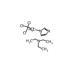 CCN(CC)CC.ClC(Cl)(Cl)Cl.Cn1ccnc1